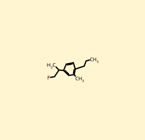 [CH2]C(CF)c1ccc(CCC)c(C)c1